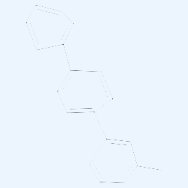 Cc1cc[c]c(-c2ccc(-c3ccccc3)cc2)c1